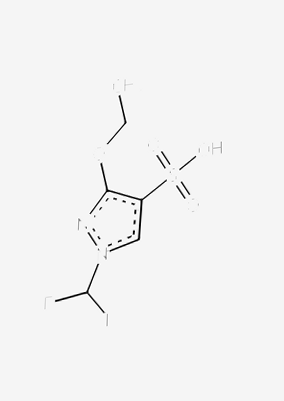 CCOc1nn(C(F)F)cc1S(=O)(=O)O